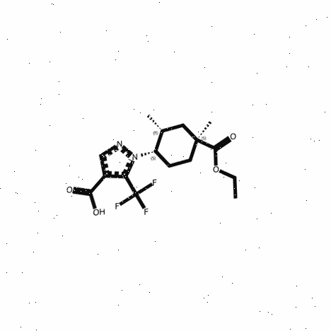 CCOC(=O)[C@@]1(C)CC[C@H](n2ncc(C(=O)O)c2C(F)(F)F)[C@H](C)C1